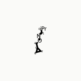 CC(C)/C=N/OCC1CC1